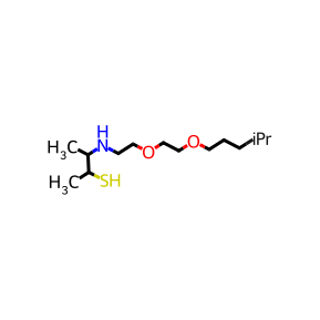 CC(C)CCCOCCOCCNC(C)C(C)S